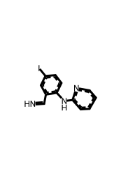 N=Cc1cc(I)ccc1Nc1ccccn1